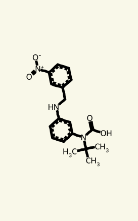 CC(C)(C)N(C(=O)O)c1cccc(NCc2cccc([N+](=O)[O-])c2)c1